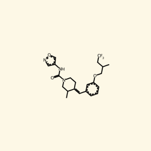 CC(COc1cccc(/C=C2\CCN(C(=O)Nc3cnoc3)CC2C)c1)CC(F)(F)F